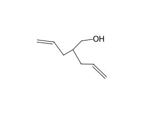 C=CCC(CO)CC=C